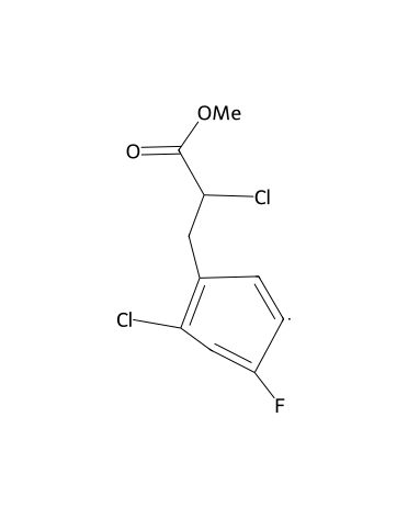 COC(=O)C(Cl)Cc1c[c]c(F)cc1Cl